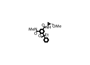 CCC1(c2ccccc2)COc2c(C(=O)NC)cc(C(=O)N[C@H]3C[C@@H]3COC)cc21